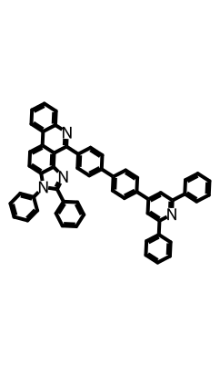 c1ccc(-c2cc(-c3ccc(-c4ccc(-c5nc6ccccc6c6ccc7c(nc(-c8ccccc8)n7-c7ccccc7)c56)cc4)cc3)cc(-c3ccccc3)n2)cc1